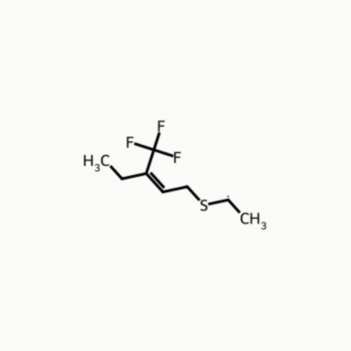 C[CH]SC/C=C(/CC)C(F)(F)F